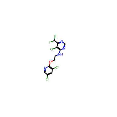 FC(F)c1ncnc(NCCOc2ncc(Cl)cc2Cl)c1Cl